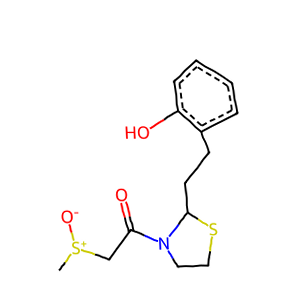 C[S+]([O-])CC(=O)N1CCSC1CCc1ccccc1O